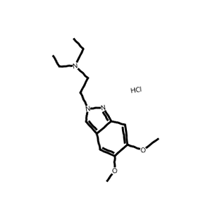 CCN(CC)CCn1cc2cc(OC)c(OC)cc2n1.Cl